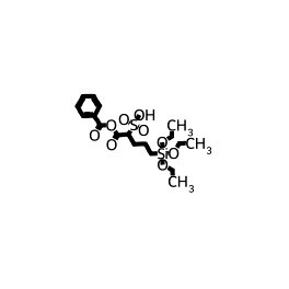 CCO[Si](CCCC(C(=O)OC(=O)c1ccccc1)S(=O)(=O)O)(OCC)OCC